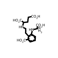 N.O=C(O)CCC(NCCc1c(NCC(=O)O)cccc1C(=O)O)C(=O)O